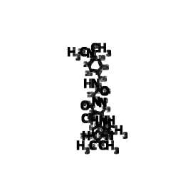 C[C@@H]1[C@H]2C[C@@H](C[C@H]1Nc1cnn(CC(=O)NCc3ccc(N(C)C)cc3)c(=O)c1Cl)C2(C)C